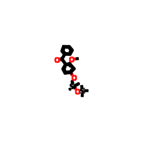 COc1cc(OC[Si](C)(C)O[Si](C)(C)C)ccc1C(=O)c1ccccc1